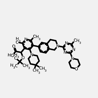 Cc1nc(N2CCOCC2)nc(N2CCc3cc(-c4c(C)nc(C)c(C(OC(C)(C)C)C(=O)O)c4N4CCC(C)(C)CC4)ccc3C2)n1